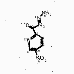 NN=NC(=O)c1ccc([N+](=O)[O-])cn1